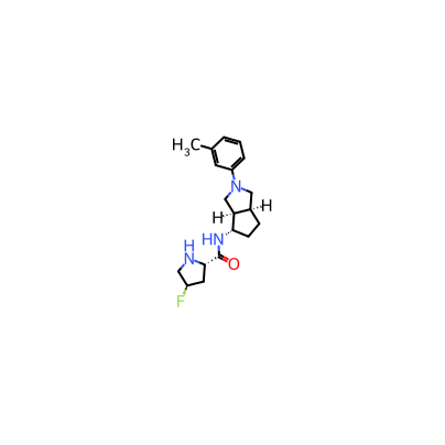 Cc1cccc(N2C[C@H]3CC[C@H](NC(=O)[C@@H]4C[C@@H](F)CN4)[C@H]3C2)c1